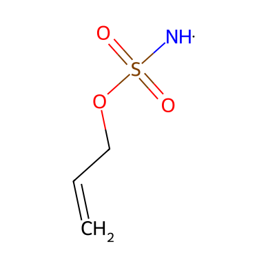 C=CCOS([NH])(=O)=O